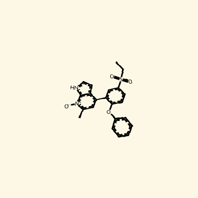 CCS(=O)(=O)c1ccc(Oc2ccccc2)c(-c2cc(C)[n+]([O-])c3[nH]ccc23)c1